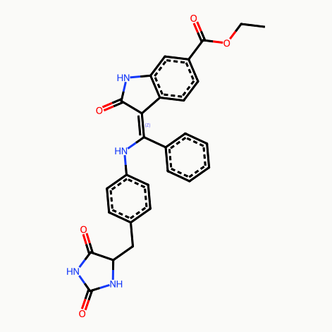 CCOC(=O)c1ccc2c(c1)NC(=O)/C2=C(\Nc1ccc(CC2NC(=O)NC2=O)cc1)c1ccccc1